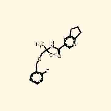 CC(C)(COCc1ccccc1F)NC(=O)c1cnc2c(c1)CCC2